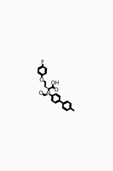 Cc1ccc(-c2ccc(N(C=O)[C@@H](CCOc3ccc(F)cc3)C(=O)O)cc2)cc1